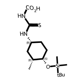 C[C@@H]1C[C@H](NC(=S)NC(=O)O)CC[C@@H]1O[Si](C)(C)C(C)(C)C